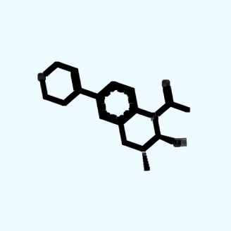 CC(=O)N1c2ccc(C3=CCOCC3)cc2C[C@@H](C)[C@@H]1O